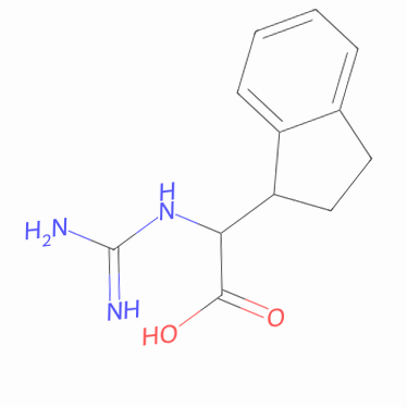 N=C(N)NC(C(=O)O)C1CCc2ccccc21